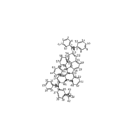 Cc1cccc(N(c2ccccc2)c2ccc3c4c(ccc3c2)-c2c(c3ccc(N(c5ccccc5)c5cccc([Si](C)(C)C)c5)cc3c3ccccc23)C4(c2ccccc2)c2ccccc2)c1